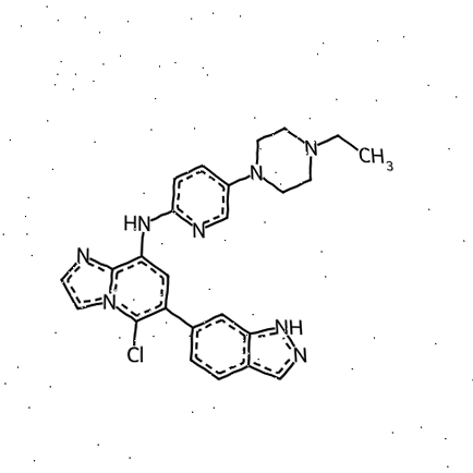 CCN1CCN(c2ccc(Nc3cc(-c4ccc5cn[nH]c5c4)c(Cl)n4ccnc34)nc2)CC1